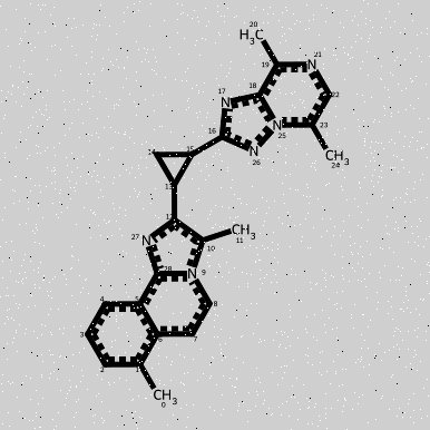 Cc1cccc2c1ccn1c(C)c(C3CC3c3nc4c(C)ncc(C)n4n3)nc21